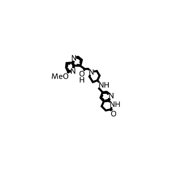 COc1ccc2nccc(C(O)CN3CCC(NCc4cnc5c(c4)CCC(=O)N5)CC3)c2n1